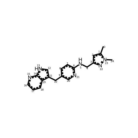 Cc1cc(CNc2ccc(Cc3c[nH]c4ncccc34)cn2)nn1C